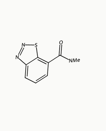 CNC(=O)c1cccc2nnsc12